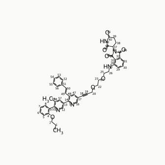 CCCOc1ccccc1-c1ncc(-c2ncc(C#CCOCCOCCNc3cccc4c3C(=O)N(C3CCC(=O)NC3=O)C4=O)cc2/C=C/c2ccccc2)cc1C